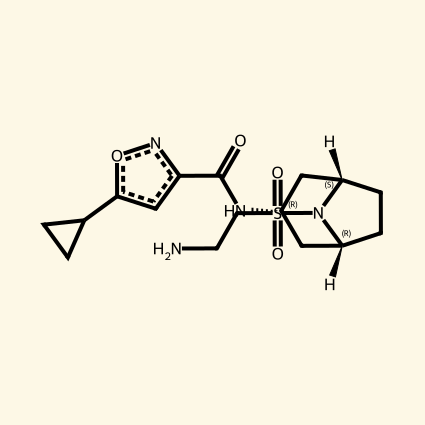 NCCS(=O)(=O)N1[C@@H]2CC[C@H]1C[C@@H](NC(=O)c1cc(C3CC3)on1)C2